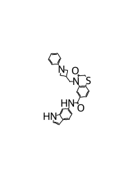 O=C(Nc1ccc2cc[nH]c2c1)c1ccc2c(c1)N(CC1CN(c3ccccc3)C1)C(=O)CS2